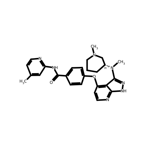 Cc1ccnc(NC(=O)c2ccc(Oc3ccnc4[nH]nc(N(C)[C@@H]5CCCN(C)C5)c34)cc2)c1